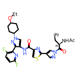 CCO[C@H]1CC[C@H](n2cc(NC(=O)c3csc(-c4cnn(C(=O)[C@@H](CC(C)C)NC(C)=O)c4)n3)c(-c3nc(F)ccc3F)n2)CC1